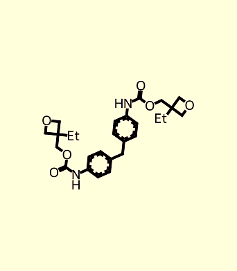 CCC1(COC(=O)Nc2ccc(Cc3ccc(NC(=O)OCC4(CC)COC4)cc3)cc2)COC1